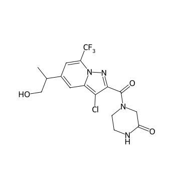 CC(CO)c1cc(C(F)(F)F)n2nc(C(=O)N3CCNC(=O)C3)c(Cl)c2c1